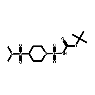 CN(C)S(=O)(=O)C1CCN(S(=O)(=O)NC(=O)OC(C)(C)C)CC1